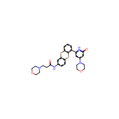 O=C(CCN1CCOCC1)Nc1ccc2c(c1)Sc1cccc(-c3cc(N4CCOCC4)cc(=O)[nH]3)c1S2